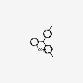 Cc1ccc(C(c2ccc(C)cc2)c2ccccc2C(=O)O)cc1